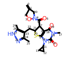 C=C1CON(C(=O)C2c3c(n(C4CC4)c(=O)n(C)c3=O)SC2Cc2c(C)n[nH]c2C)C1